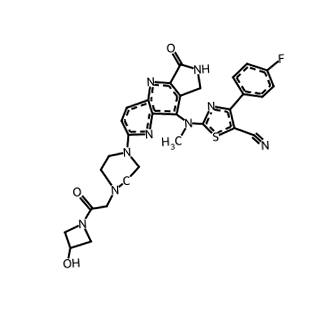 CN(c1nc(-c2ccc(F)cc2)c(C#N)s1)c1c2c(nc3ccc(N4CCN(CC(=O)N5CC(O)C5)CC4)nc13)C(=O)NC2